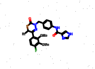 CCC1SC(=O)N(Cc2ccc(NC(=O)c3c[nH]cn3)cc2)N=C1c1ccc(F)c(OC)c1OC